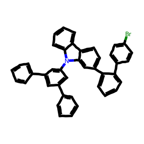 Brc1ccc(-c2ccccc2-c2ccc3c4ccccc4n(-c4cc(-c5ccccc5)cc(-c5ccccc5)c4)c3c2)cc1